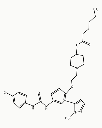 CCCCCC(=O)OC1CCN(CCOc2ccc(NC(=O)Nc3ccc(Cl)cc3)cc2-c2ccnn2C)CC1